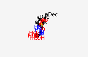 CCCCCCCCCCCCCC(=O)N[C@H](CSC[C@@H](COC(=O)CCCCCCCCCCCCC)OC(=O)CCCCCCCCCCCCC)C(=O)Nc1cn(CC2OC(O)C(O)C(O)C2O)nn1